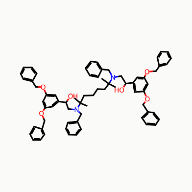 CC(C)(CCCCC(C)(C)N(Cc1ccccc1)CC(O)c1cc(OCc2ccccc2)cc(OCc2ccccc2)c1)N(Cc1ccccc1)CC(O)c1cc(OCc2ccccc2)cc(OCc2ccccc2)c1